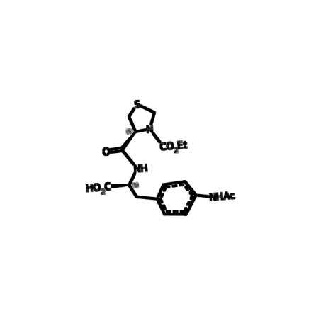 CCOC(=O)N1CSC[C@@H]1C(=O)N[C@@H](Cc1ccc(NC(C)=O)cc1)C(=O)O